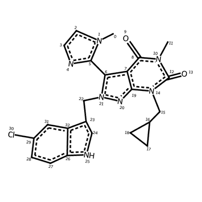 Cn1ccnc1-c1c2c(=O)n(C)c(=O)n(CC3CC3)c2nn1Cc1c[nH]c2ccc(Cl)cc12